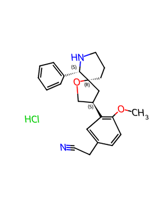 COc1ccc(CC#N)cc1[C@H]1CO[C@]2(CCCN[C@H]2c2ccccc2)C1.Cl